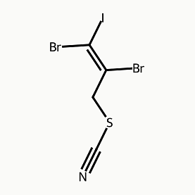 N#CSC/C(Br)=C(\Br)I